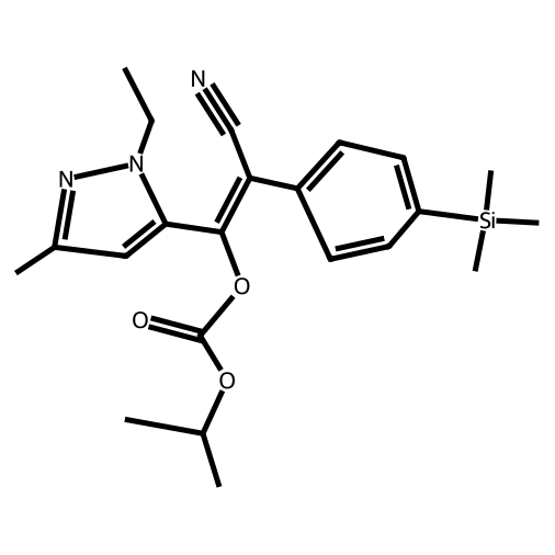 CCn1nc(C)cc1C(OC(=O)OC(C)C)=C(C#N)c1ccc([Si](C)(C)C)cc1